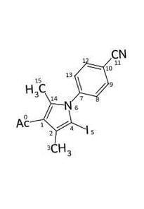 CC(=O)c1c(C)c(I)n(-c2ccc(C#N)cc2)c1C